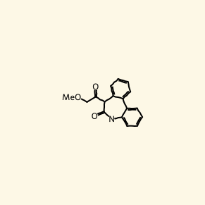 COCC(=O)C1C(=O)[N]c2ccccc2-c2ccccc21